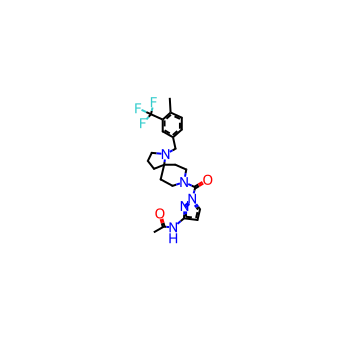 CC(=O)Nc1ccn(C(=O)N2CCC3(CCCN3Cc3ccc(C)c(C(F)(F)F)c3)CC2)n1